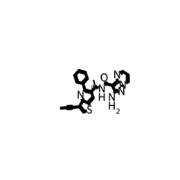 CC#Cc1csc2cc([C@@H](C)NC(=O)c3c(N)nn4cccnc34)c(-c3ccccc3)nc12